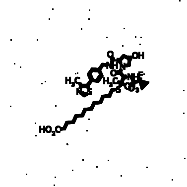 Cc1ncsc1-c1ccc(CNC(=O)[C@@H]2C[C@@H](O)CN2C(=O)[C@@H](NC(=O)C2(F)CC2)C(C)(C)SCCCCCCCCCCCCC(=O)O)cc1